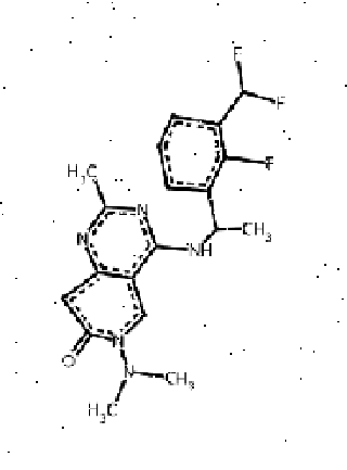 Cc1nc(NC(C)c2cccc(C(F)F)c2F)c2cn(N(C)C)c(=O)cc2n1